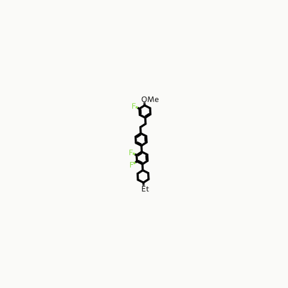 CCC1CCC(c2ccc(-c3ccc(CCC4=CCC(OC)C(F)=C4)cc3)c(F)c2F)CC1